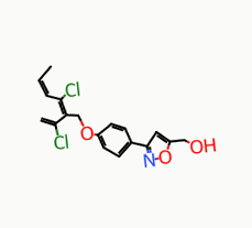 C=C(Cl)/C(COc1ccc(-c2cc(CO)on2)cc1)=C(Cl)\C=C/C